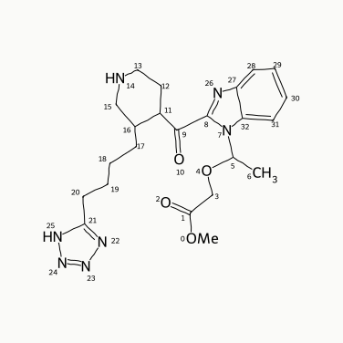 COC(=O)COC(C)n1c(C(=O)C2CCNCC2CCCCc2nnn[nH]2)nc2ccccc21